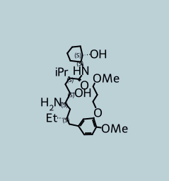 CC[C@@H](Cc1ccc(OC)c(OCCCOC)c1)C[C@H](N)[C@@H](O)C[C@H](C(=O)N[C@H]1CCCC[C@@H]1O)C(C)C